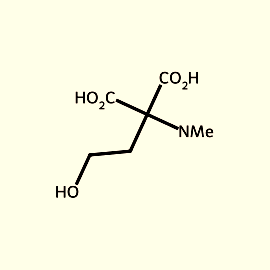 CNC(CCO)(C(=O)O)C(=O)O